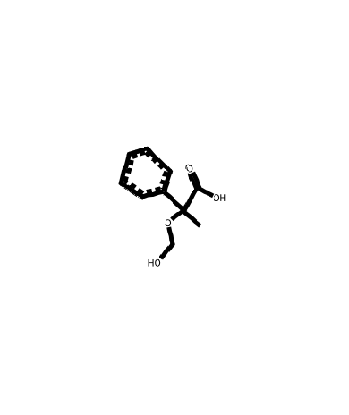 CC(OCO)(C(=O)O)c1ccccc1